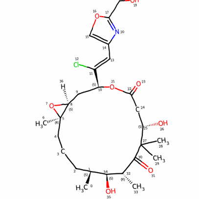 C[C@H]1CCC[C@@]2(C)O[C@H]2C[C@@H](C(Cl)=Cc2coc(CO)n2)OC(=O)C[C@H](O)C(C)(C)C(=O)[C@H](C)[C@H]1O